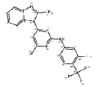 Cc1nc2ccccc2n1-c1cc(Cl)nc(Nc2ccc(C(F)(F)F)c(F)c2)n1